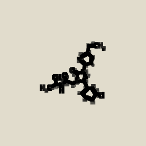 C=Cc1ccc(-n2nc(-c3cccc(Cl)c3)n(CC(=O)NC(C)C)c2=O)nc1